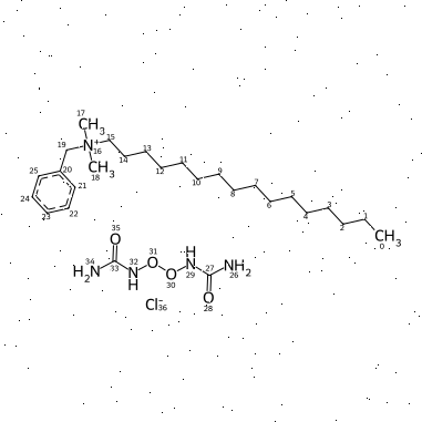 CCCCCCCCCCCCCCCC[N+](C)(C)Cc1ccccc1.NC(=O)NOONC(N)=O.[Cl-]